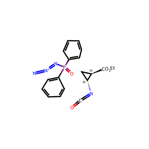 CCOC(=O)[C@@H]1C[C@H]1N=C=O.[N-]=[N+]=NP(=O)(c1ccccc1)c1ccccc1